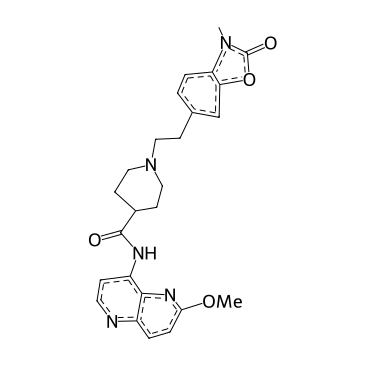 COc1ccc2nccc(NC(=O)C3CCN(CCc4ccc5c(c4)oc(=O)n5C)CC3)c2n1